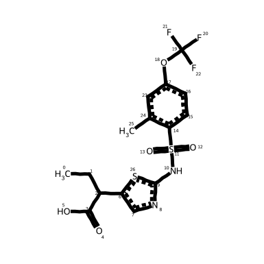 CCC(C(=O)O)c1cnc(NS(=O)(=O)c2ccc(OC(F)(F)F)cc2C)s1